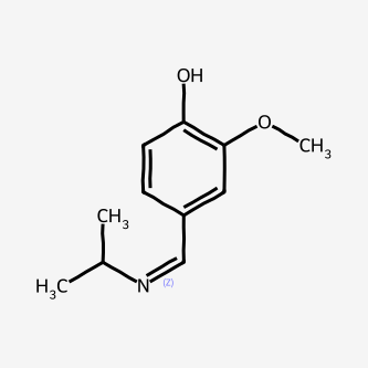 COc1cc(/C=N\C(C)C)ccc1O